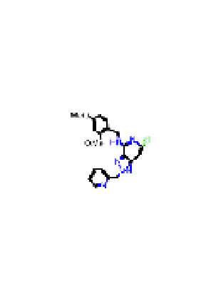 COc1ccc(CNc2nc(Cl)cc3nn(Cc4ccccn4)nc23)c(OC)c1